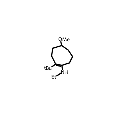 CCN/C1=C(\C(C)(C)C)CCC(OC)CCC1